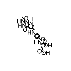 CC(=O)Nc1nc2c(c(=O)[nH]1)CC(CNc1ccc(C(=O)N[C@@H](CCC(=O)O)C(=O)O)cc1)CN2